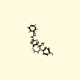 Cc1ccc(N2CCCc3nc(COc4ccccc4)oc3C2=O)cc1